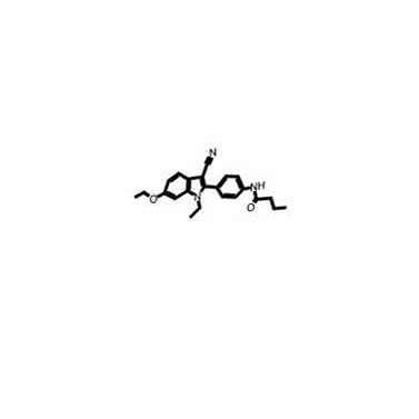 CCCC(=O)Nc1ccc(-c2c(C#N)c3ccc(OCC)cc3n2CC)cc1